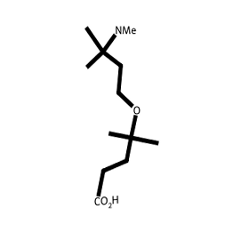 CNC(C)(C)CCOC(C)(C)CCC(=O)O